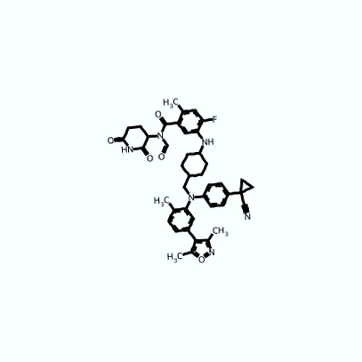 Cc1cc(F)c(NC2CCC(CN(c3ccc(C4(C#N)CC4)cc3)c3cc(-c4c(C)noc4C)ccc3C)CC2)cc1C(=O)N(C=O)C1CCC(=O)NC1=O